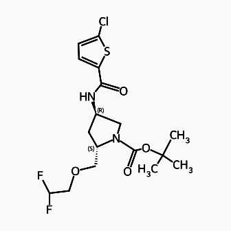 CC(C)(C)OC(=O)N1C[C@H](NC(=O)c2ccc(Cl)s2)C[C@H]1COCC(F)F